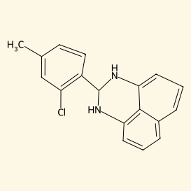 Cc1ccc(C2Nc3cccc4cccc(c34)N2)c(Cl)c1